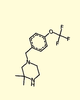 CC1(C)CN(Cc2ccc(OC(F)(F)F)cc2)CCN1